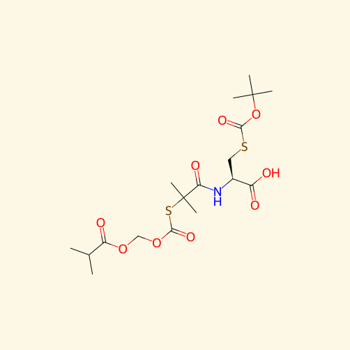 CC(C)C(=O)OCOC(=O)SC(C)(C)C(=O)N[C@@H](CSC(=O)OC(C)(C)C)C(=O)O